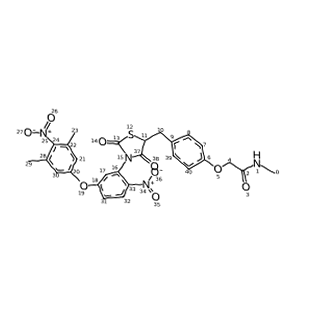 CNC(=O)COc1ccc(CC2SC(=O)N(c3cc(Oc4cc(C)c([N+](=O)[O-])c(C)c4)ccc3[N+](=O)[O-])C2=O)cc1